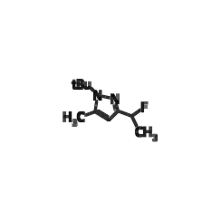 Cc1cc(C(C)F)nn1C(C)(C)C